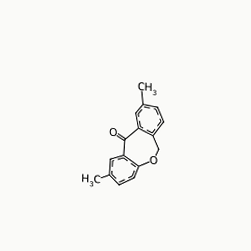 Cc1ccc2c(c1)C(=O)c1cc(C)ccc1OC2